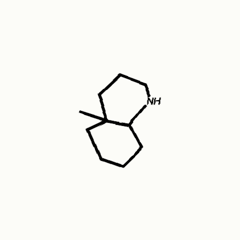 CC12CCCCC1NCCC2